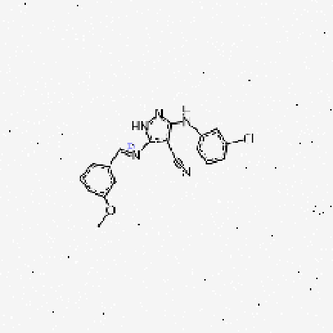 COc1cccc(/C=N/c2[nH]nc(Nc3cccc(Cl)c3)c2C#N)c1